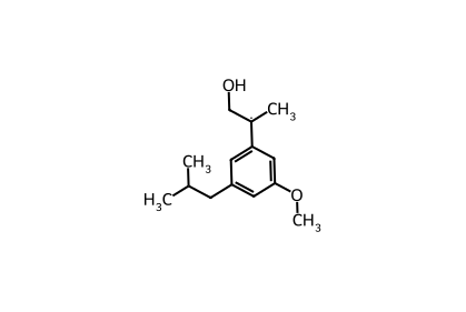 COc1cc(CC(C)C)cc([C](C)CO)c1